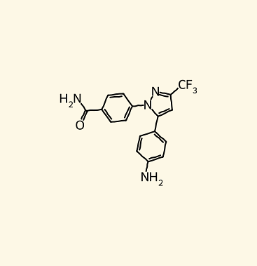 NC(=O)c1ccc(-n2nc(C(F)(F)F)cc2-c2ccc(N)cc2)cc1